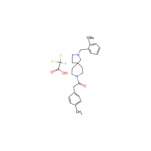 Cc1ccc(CC(=O)N2CCC3(CCN(Cc4ccccc4OCC(C)C)C3)CC2)cc1.O=C(O)C(F)(F)F